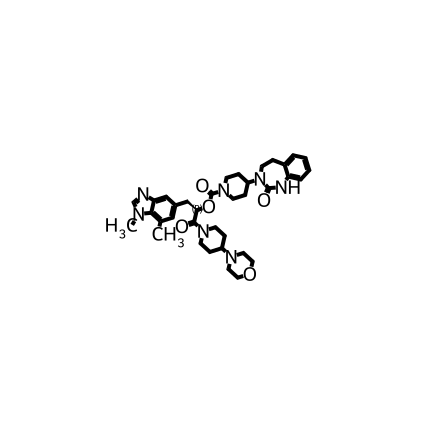 Cc1cc(C[C@@H](OC(=O)N2CCC(N3CCc4ccccc4NC3=O)CC2)C(=O)N2CCC(N3CCOCC3)CC2)cc2ncn(C)c12